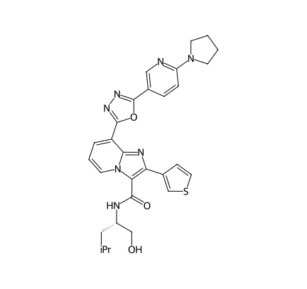 CC(C)C[C@@H](CO)NC(=O)c1c(-c2ccsc2)nc2c(-c3nnc(-c4ccc(N5CCCC5)nc4)o3)cccn12